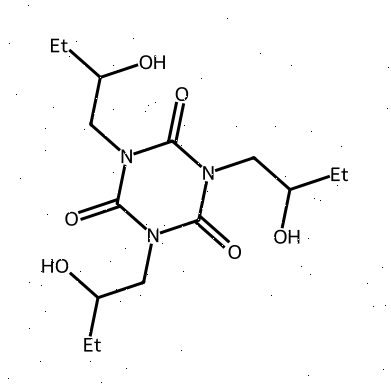 CCC(O)Cn1c(=O)n(CC(O)CC)c(=O)n(CC(O)CC)c1=O